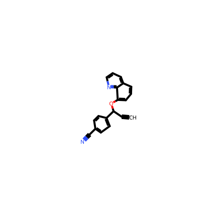 C#CC(Oc1cccc2cccnc12)c1ccc(C#N)cc1